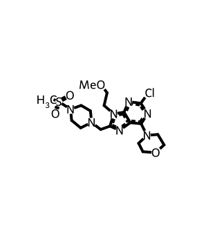 COCCn1c(CN2CCN(S(C)(=O)=O)CC2)nc2c(N3CCOCC3)nc(Cl)nc21